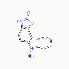 CCCCn1c2ccccc2c2c3oc(=O)[nH]c3ccc21